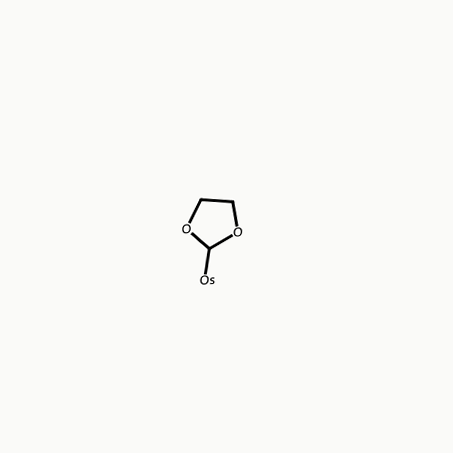 [Os][CH]1OCCO1